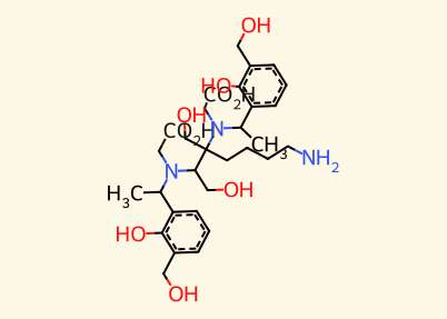 CC(c1cccc(CO)c1O)N(CC(=O)O)C(CO)C(CO)(CCCCN)N(CC(=O)O)C(C)c1cccc(CO)c1O